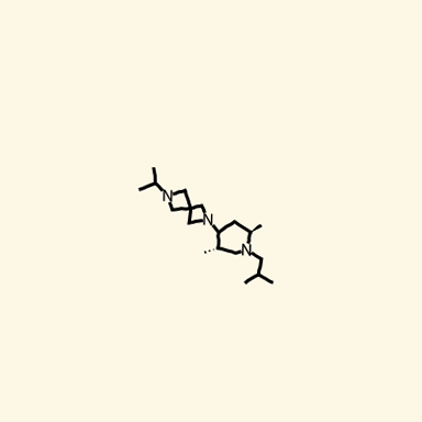 CC(C)CN1C[C@H](C)C(N2CC3(CN(C(C)C)C3)C2)C[C@H]1C